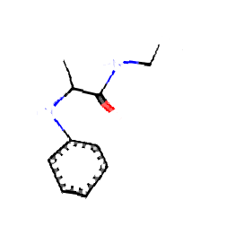 CC(Nc1ccccc1)C(=O)NCC(=O)O